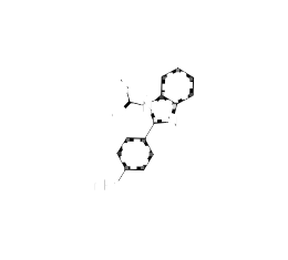 CCCc1ccc(-c2nc3ccccc3n2C(N)=O)cc1